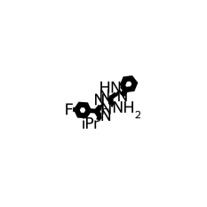 CC(C)c1nn2c(N)c(-c3nc4ccccc4[nH]3)nnc2c1-c1ccc(F)cc1